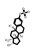 CC[C@H]1CC[C@H]2[C@@H]3CCc4cc(OS(=O)(=O)[O-])ccc4[C@H]3CC[C@]12C.[K+]